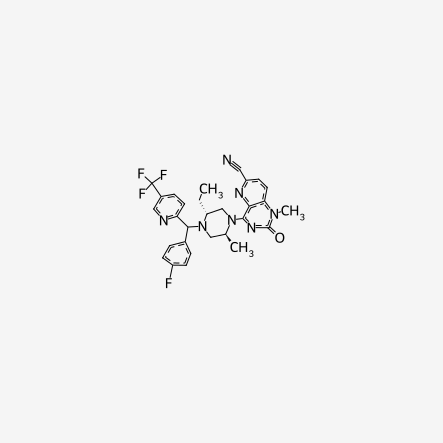 CC[C@@H]1CN(c2nc(=O)n(C)c3ccc(C#N)nc23)[C@@H](C)CN1C(c1ccc(F)cc1)c1ccc(C(F)(F)F)cn1